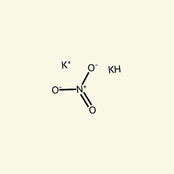 O=[N+]([O-])[O-].[K+].[KH]